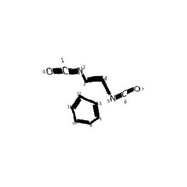 O=C=NC=CN=C=O.c1ccccc1